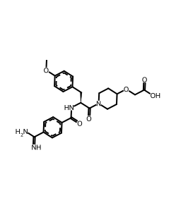 COc1ccc(C[C@H](NC(=O)c2ccc(C(=N)N)cc2)C(=O)N2CCC(OCC(=O)O)CC2)cc1